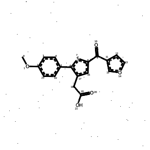 COc1ccc(-c2sc(C(=O)c3ccoc3)cc2CC(=O)O)cc1